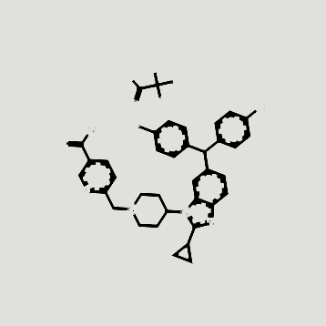 NC(=O)c1ccc(CN2CCC(n3c(C4CC4)nc4ccc(C(c5ccc(Cl)cc5)c5ccc(Cl)cc5)cc43)CC2)nc1.O=C(O)C(F)(F)F